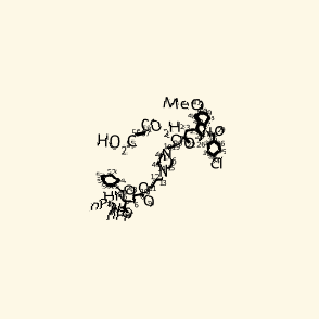 CCCN(CCC)C(=O)C(CCC(=O)OCCCN1CCN(CCOC(=O)Cc2c(C)n(C(=O)c3ccc(Cl)cc3)c3ccc(OC)cc23)CC1)NC(=O)c1ccccc1.O=C(O)/C=C/C(=O)O